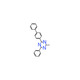 Cc1nc(-c2ccccc2)nc(-c2ccc(-c3ccccc3)cc2)n1